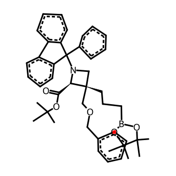 CC(C)(C)OC(=O)[C@H]1N(C2(c3ccccc3)c3ccccc3-c3ccccc32)C[C@]1(CCCB1OC(C)(C)C(C)(C)O1)COCc1ccccc1